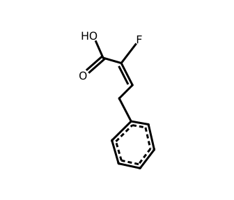 O=C(O)/C(F)=C\Cc1ccccc1